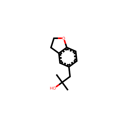 CC(C)(O)Cc1ccc2c(c1)CCO2